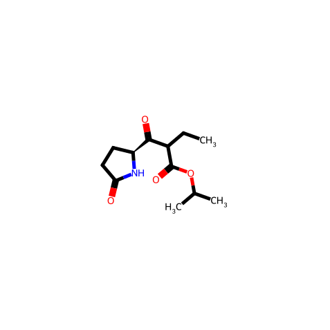 CCC(C(=O)OC(C)C)C(=O)[C@@H]1CCC(=O)N1